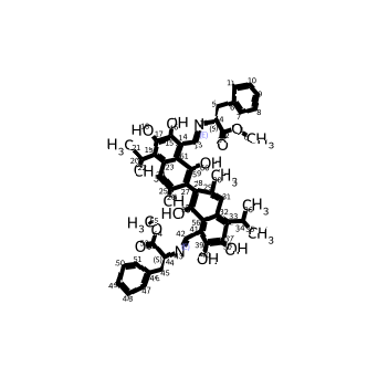 COC(=O)[C@H](Cc1ccccc1)/N=C/c1c(O)c(O)c(C(C)C)c2cc(C)c(-c3c(C)cc4c(C(C)C)c(O)c(O)c(/C=N/[C@@H](Cc5ccccc5)C(=O)OC)c4c3O)c(O)c12